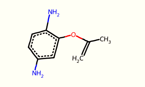 C=C(C)Oc1cc(N)ccc1N